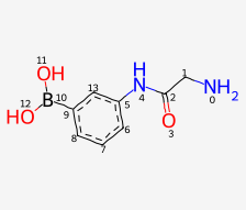 NCC(=O)Nc1cccc(B(O)O)c1